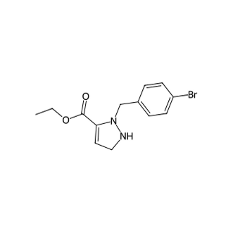 CCOC(=O)C1=CCNN1Cc1ccc(Br)cc1